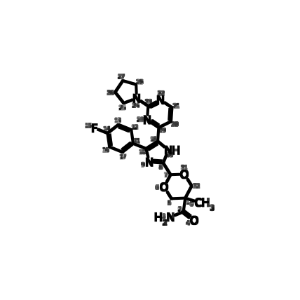 CC1(C(N)=O)COC(c2nc(-c3ccc(F)cc3)c(-c3ccnc(N4CCCC4)n3)[nH]2)OC1